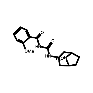 COc1ccccc1C(=O)NC(=O)NC1CC2CCC(C1)N2C